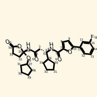 O=C(C[C@H](NC(=O)c1ccc(-c2cccc(F)c2)o1)C1CCCC1)NC1(OC2CCCC2)CCC(=O)O1